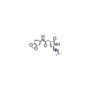 CC(C)=N/N=C1\NC(=O)C(CC(=O)Nc2ccc3c(c2)OCO3)S1